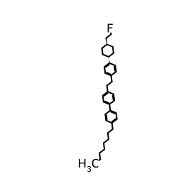 CCCCCCCCc1ccc(-c2ccc(CCc3ccc([C@H]4CC[C@H](CCF)CC4)cc3)cc2)cc1